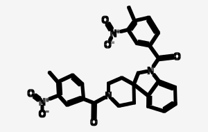 Cc1ccc(C(=O)N2CCC3(CC2)CN(C(=O)c2ccc(C)c([N+](=O)[O-])c2)c2ccccc23)cc1[N+](=O)[O-]